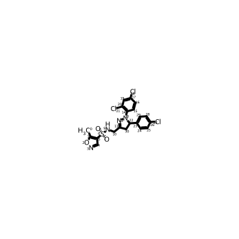 Cc1oncc1S(=O)(=O)NCC1=NN(c2ccc(Cl)cc2Cl)C(c2ccc(Cl)cc2)C1